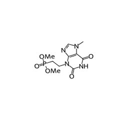 COP(=O)(CCn1c(=O)[nH]c(=O)c2c1ncn2C)OC